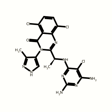 Cc1n[nH]cc1-n1c([C@H](C)Nc2nc(N)nc(N)c2Cl)nc2c(Cl)ccc(Cl)c2c1=O